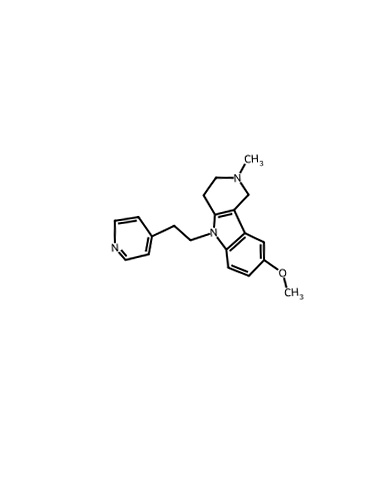 COc1ccc2c(c1)c1c(n2CCc2ccncc2)CCN(C)C1